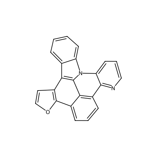 c1cc2c3ncccc3n3c4ccccc4c4c5ccoc5c(c1)c2c43